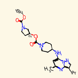 Cc1cc(NC2CCN(C(=O)O[C@H]3CCN(C(=O)OC(C)(C)C)C3)CC2)n2ncc(C(C)C)c2n1